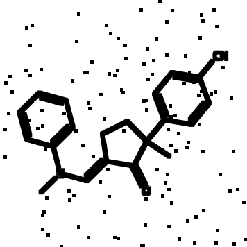 CN(C=C1CCC(C)(c2ccc(C#N)cc2)C1=O)c1ccccc1